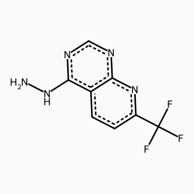 NNc1ncnc2nc(C(F)(F)F)ccc12